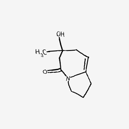 CC1(O)CC=C2CCCN2C1=O